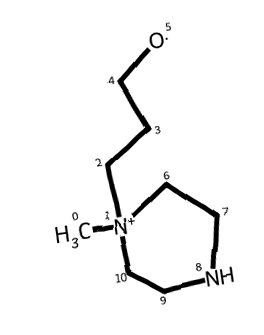 C[N+]1(CCC[O])CCNCC1